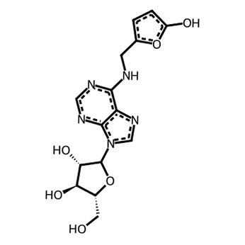 OC[C@H]1OC(n2cnc3c(NCc4ccc(O)o4)ncnc32)[C@@H](O)[C@@H]1O